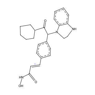 O=C(/C=C/c1ccc(C(C(=O)C2CCCCC2)N2CCNc3ccccc32)cc1)NO